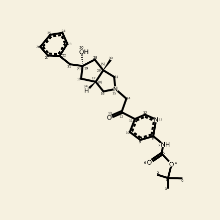 CC(C)(C)OC(=O)Nc1ccc(C(=O)CN2C[C@@H]3C[C@@](O)(Cc4ccccc4)C[C@]3(C)C2)cn1